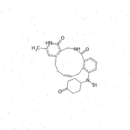 CCN(c1cccc2c1CC=CCCc1cc(C)[nH]c(=O)c1CNC2=O)C1CCC(=O)CC1